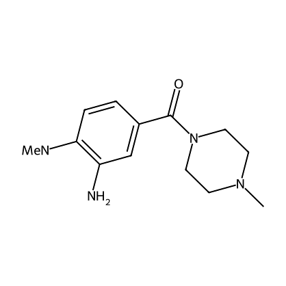 CNc1ccc(C(=O)N2CCN(C)CC2)cc1N